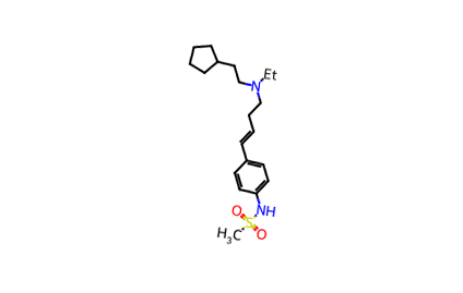 CCN(CCC=Cc1ccc(NS(C)(=O)=O)cc1)CCC1CCCC1